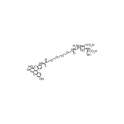 N[C@@H](CNC(=O)CCOCCOCCOCCOCCNC(=S)Nc1ccc(-c2c3ccc(=O)cc-3oc3cc(O)ccc23)c(C(=O)O)c1)C(=O)N[C@@H](CC(=O)O)C(=O)N[C@@H](CS)C(=O)O